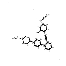 CCCCCC1CCC(c2ccc(-c3ccccc3C#Cc3ccc(N=C=S)cc3C)cc2)CC1